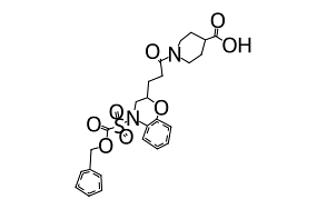 O=C(O)C1CCN(C(=O)CCC2CN(S(=O)(=O)C(=O)OCc3ccccc3)c3ccccc3O2)CC1